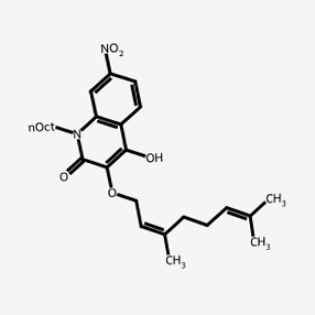 CCCCCCCCn1c(=O)c(OCC=C(C)CCC=C(C)C)c(O)c2ccc([N+](=O)[O-])cc21